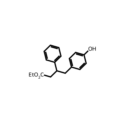 CCOC(=O)CC(Cc1ccc(O)cc1)c1ccccc1